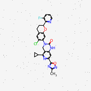 Cc1noc(-c2cc3c(c(C4CC4)n2)CN(c2cc4c(cc2Cl)CCC(c2ncccc2F)O4)C(=O)N3)n1